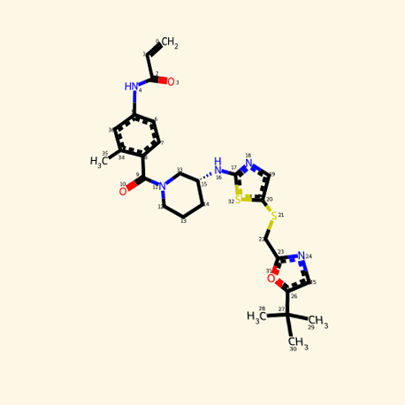 C=CC(=O)Nc1ccc(C(=O)N2CCC[C@@H](Nc3ncc(SCc4ncc(C(C)(C)C)o4)s3)C2)c(C)c1